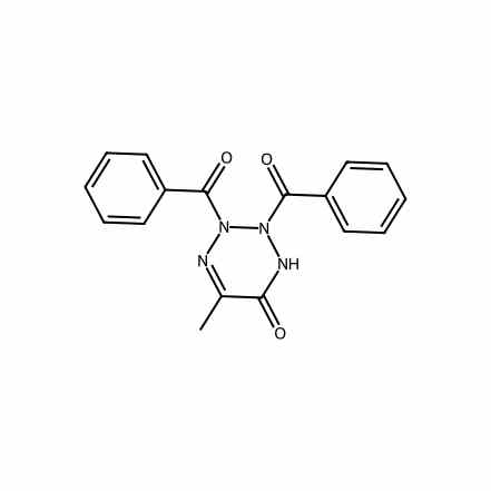 CC1=NN(C(=O)c2ccccc2)N(C(=O)c2ccccc2)NC1=O